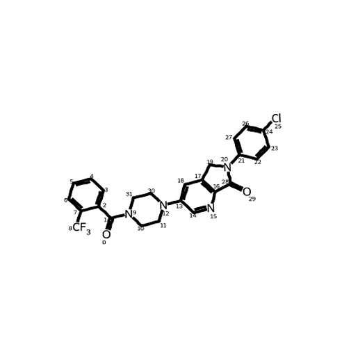 O=C(c1ccccc1C(F)(F)F)N1CCN(c2cnc3c(c2)CN(c2ccc(Cl)cc2)C3=O)CC1